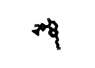 CC(C)CCOc1cnc2c(c1)CCC(=O)N2C1CC(O)(C2CC2)C1